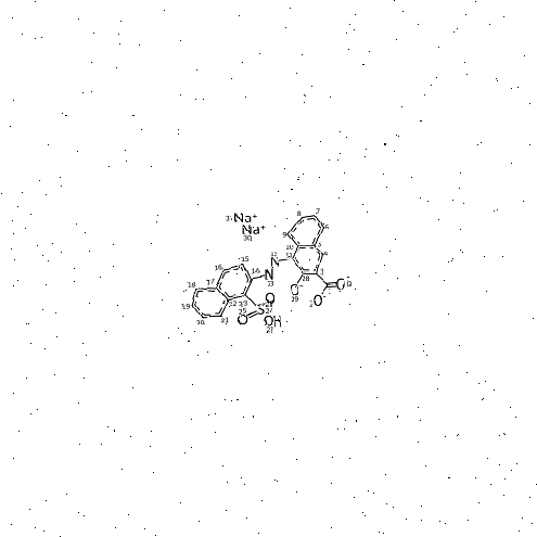 O=C([O-])c1cc2ccccc2c(N=Nc2ccc3ccccc3c2S(=O)(=O)O)c1[O-].[Na+].[Na+]